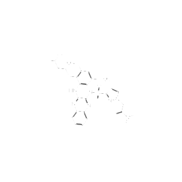 COc1cc(Nc2nc3ccccc3nc2NS(=O)(=O)c2ccn(CC(=O)N(C)C)n2)c(OCCC(C)O)c(OC)c1